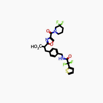 O=C(O)C(Cc1ccc(CNC(=O)C(F)(F)c2cccs2)cc1)c1nc(C(=O)N2CCCC(F)(F)C2)co1